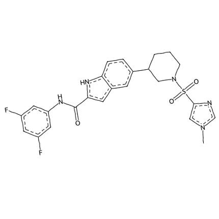 Cn1cnc(S(=O)(=O)N2CCCC(c3ccc4[nH]c(C(=O)Nc5cc(F)cc(F)c5)cc4c3)C2)c1